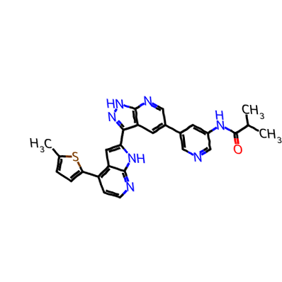 Cc1ccc(-c2ccnc3[nH]c(-c4n[nH]c5ncc(-c6cncc(NC(=O)C(C)C)c6)cc45)cc23)s1